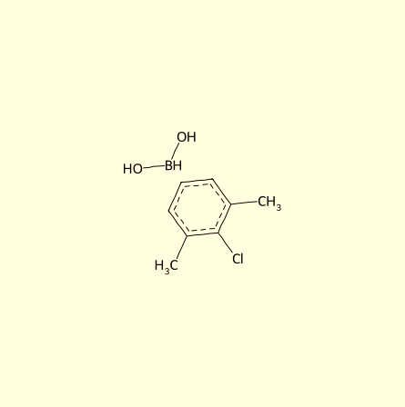 Cc1cccc(C)c1Cl.OBO